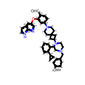 COc1ccc(CN2CCN(C3CC4(CCN(c5ccc(C=O)c(Oc6cnc7[nH]ccc7c6)c5)CC4)C3)C(c3ccccc3C3CC3)C2)cc1